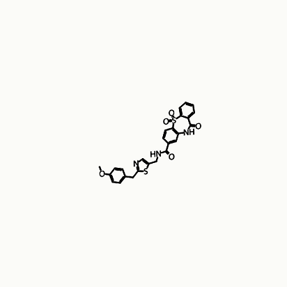 COc1ccc(Cc2ncc(CNC(=O)c3ccc4c(c3)NC(=O)c3ccccc3S4(=O)=O)s2)cc1